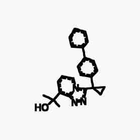 CC(C)(O)c1cccn2c(C3(c4ccc(-c5ccccc5)cc4)CC3)nnc12